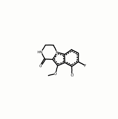 COc1c2n(c3ccc(F)c(Cl)c13)CCNC2=O